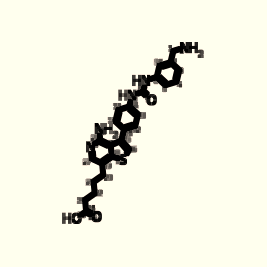 NCc1cccc(NC(=O)Nc2ccc(-c3csc4c(CCCCC(=O)O)cnc(N)c34)cc2)c1